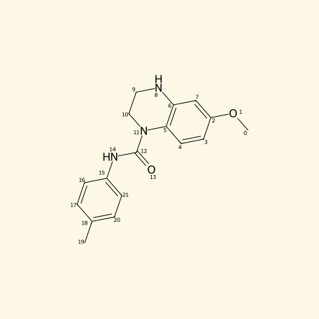 COc1ccc2c(c1)NCCN2C(=O)Nc1ccc(C)cc1